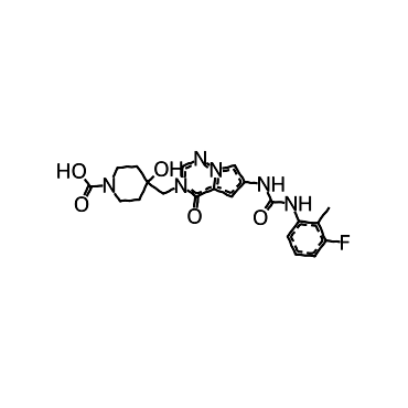 Cc1c(F)cccc1NC(=O)Nc1cc2c(=O)n(CC3(O)CCN(C(=O)O)CC3)cnn2c1